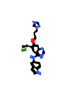 COc1cc2c(Nc3ccc4[nH]ccc4c3)ncnc2cc1OCCCn1cncn1.Cl